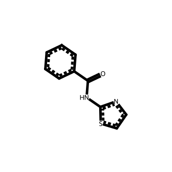 O=C(Nc1nccs1)c1c[c]ccc1